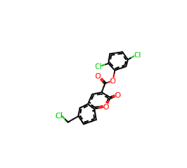 O=C(Oc1cc(Cl)ccc1Cl)c1cc2cc(CCl)ccc2oc1=O